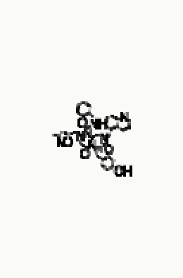 Cc1cc(CN2CC(=O)N3C(CN(Cc4cccc5ncccc45)C(=O)[C@@H]3Cc3ccc(O)cc3)N2C(=O)NCc2ccccc2)on1